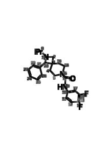 CC(C)N1CC2(CCN(C(=O)Nc3ccc(F)c(F)c3)CC2)C1c1ccccc1